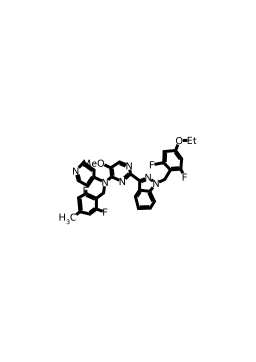 CCOc1cc(F)c(Cn2nc(-c3ncc(OC)c(N(Cc4c(F)cc(C)cc4F)c4ccncc4)n3)c3ccccc32)c(F)c1